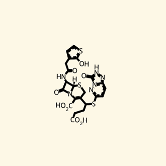 O=C(O)CCC(Sc1ccc2n[nH]c(=O)n2n1)C1=C(C(=O)O)N2C(=O)C(NC(=O)Cc3ccsc3O)[C@@H]2SC1